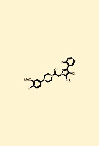 COc1cc(N2CCN(C(=O)Cn3nc(-c4ccncc4F)c(Cl)c3C)CC2)ccc1Cl